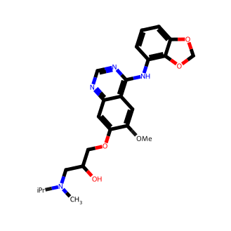 COc1cc2c(Nc3cccc4c3OCO4)ncnc2cc1OCC(O)CN(C)C(C)C